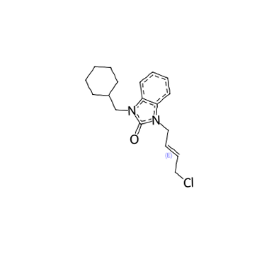 O=c1n(C/C=C/CCl)c2ccccc2n1CC1CCCCC1